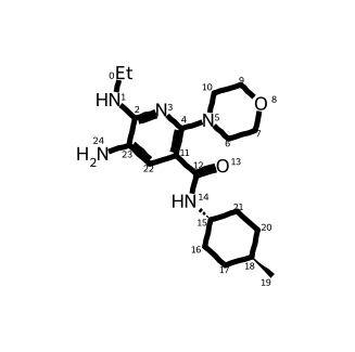 CCNc1nc(N2CCOCC2)c(C(=O)N[C@H]2CC[C@H](C)CC2)cc1N